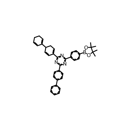 CC1(C)OB(c2ccc(-c3nc(C4=CCC(C5=CCCC=C5)C=C4)nc(-c4ccc(-c5ccccc5)cc4)n3)cc2)OC1(C)C